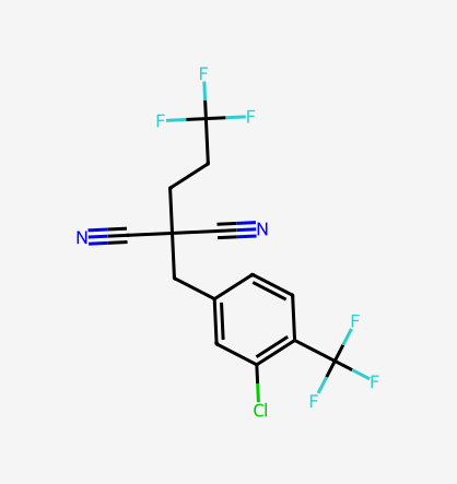 N#CC(C#N)(CCC(F)(F)F)Cc1ccc(C(F)(F)F)c(Cl)c1